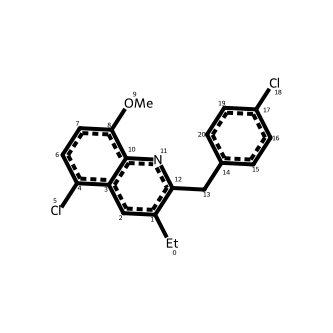 CCc1cc2c(Cl)ccc(OC)c2nc1Cc1ccc(Cl)cc1